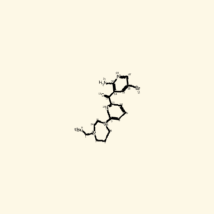 CC(C)(C)CN1CCCN(c2cccc(C(=O)c3cc(Br)cnc3N)n2)CC1